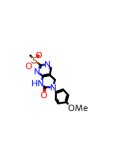 COc1ccc(N2Cc3cnc(S(C)(=O)=O)nc3NC2=O)cc1